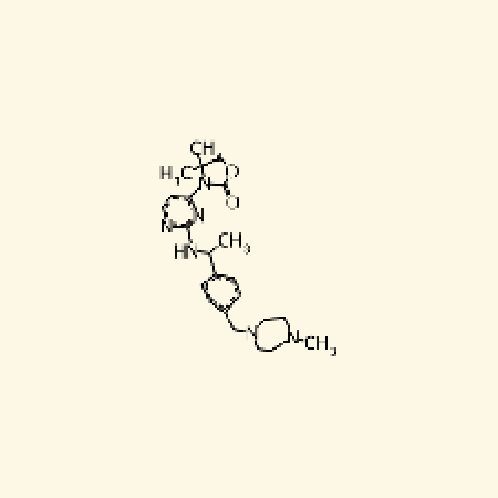 CC(Nc1nccc(N2C(=O)OCC2(C)C)n1)c1ccc(CN2CCN(C)CC2)cc1